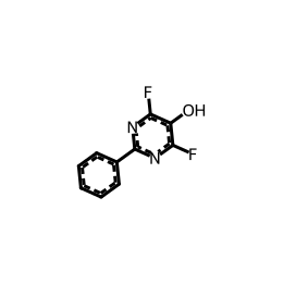 Oc1c(F)nc(-c2ccccc2)nc1F